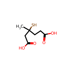 CC(S)(CCC(=O)O)CC(=O)O